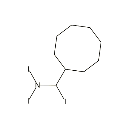 IC(C1CCCCCCC1)N(I)I